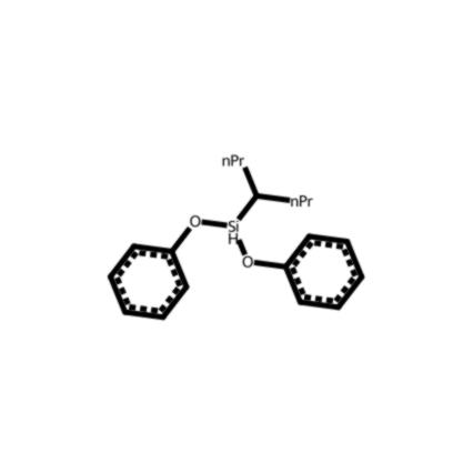 CCCC(CCC)[SiH](Oc1ccccc1)Oc1ccccc1